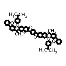 CC(C)c1ccc(N(c2ccc3cc4c(cc3c2)oc2cc3c(cc24)oc2cc4cc(N(c5ccc(C(C)C)cc5)c5c(C(C)C)ccc6c5oc5ccccc56)ccc4cc23)c2c(C(C)C)ccc3c2oc2ccccc23)cc1